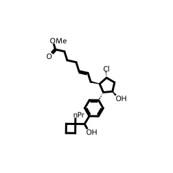 CCCC1(C(O)c2ccc([C@@H]3[C@@H](CC=CCCCC(=O)OC)[C@H](Cl)C[C@H]3O)cc2)CCC1